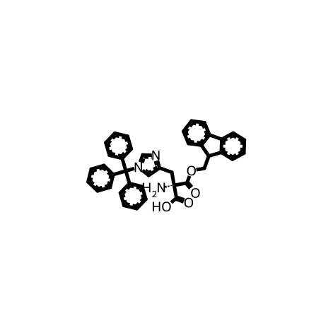 N[C@@](Cc1cn(C(c2ccccc2)(c2ccccc2)c2ccccc2)cn1)(C(=O)O)C(=O)OCC1c2ccccc2-c2ccccc21